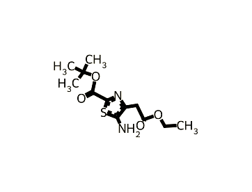 CCOC(=O)Cc1nc(C(=O)OC(C)(C)C)sc1N